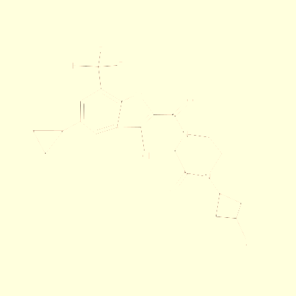 CC1CC(N2CCN(C(=O)c3oc4c(C(F)(F)F)cc(C5CC5)cc4c3Cl)CC2=O)C1